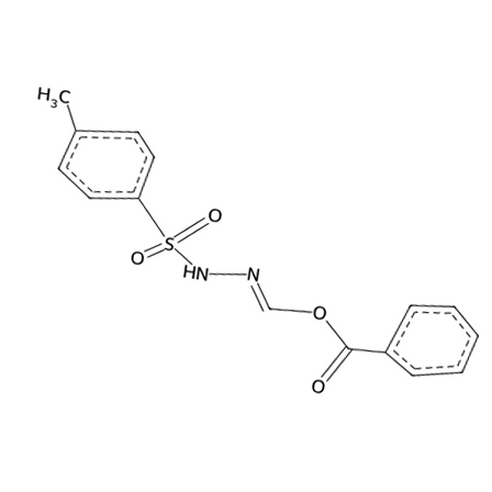 Cc1ccc(S(=O)(=O)NN=COC(=O)c2ccccc2)cc1